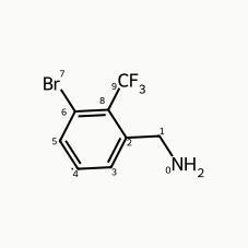 NCc1c[c]cc(Br)c1C(F)(F)F